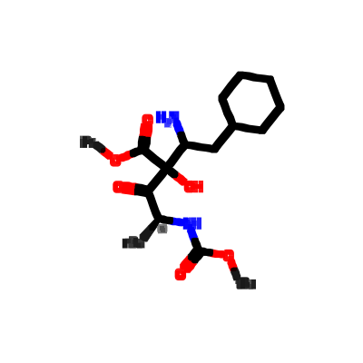 CCCC[C@H](NC(=O)OC(C)(C)C)C(=O)C(O)(C(=O)OC(C)C)C(N)CC1CCCCC1